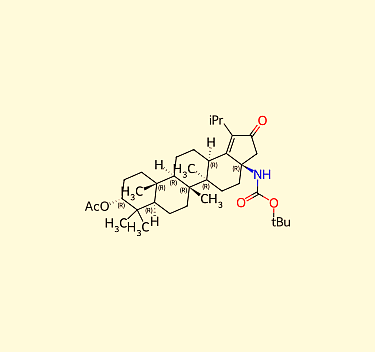 CC(=O)O[C@@H]1CC[C@]2(C)[C@H]3CC[C@H]4C5=C(C(C)C)C(=O)C[C@]5(NC(=O)OC(C)(C)C)CC[C@@]4(C)[C@]3(C)CC[C@H]2C1(C)C